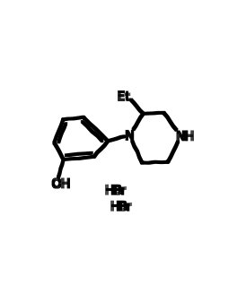 Br.Br.CCC1CNCCN1c1cccc(O)c1